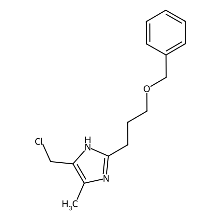 Cc1nc(CCCOCc2ccccc2)[nH]c1CCl